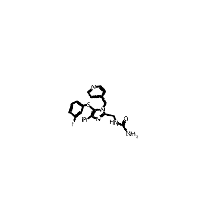 CC(C)c1nc(CNC(N)=O)n(Cc2ccncc2)c1Sc1cccc(F)c1